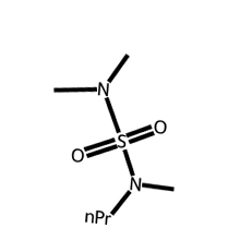 CCCN(C)S(=O)(=O)N(C)C